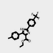 CCOC(=O)c1nc(-c2ccc(C(F)(F)F)cc2)[nH]c1-c1ccc(C)cc1